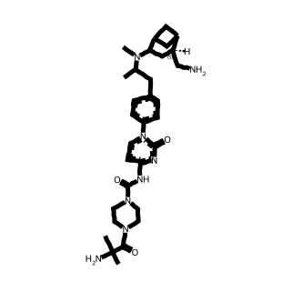 CC(Cc1ccc(-n2ccc(NC(=O)N3CCN(C(=O)C(C)(C)N)CC3)nc2=O)cc1)N(C)C1C[C@H](CN)C2CC1C2